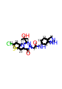 CC(C)(O)c1nn(CC(=O)Nc2ccc3cn[nH]c3c2)c(=O)c2cc3sc(Cl)cc3n12